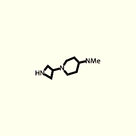 CNC1CCN(C2CNC2)CC1